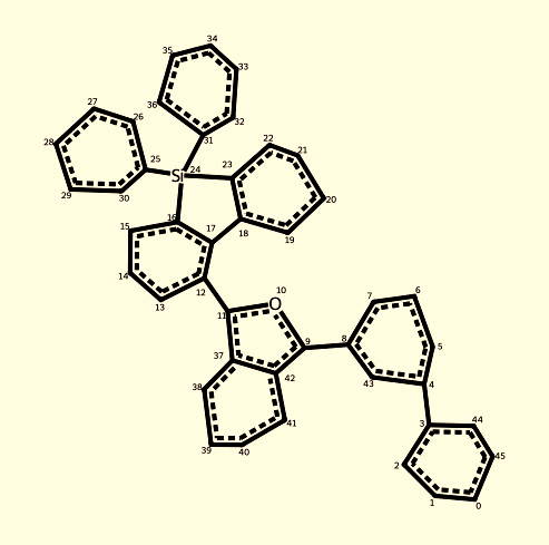 c1ccc(-c2cccc(-c3oc(-c4cccc5c4-c4ccccc4[Si]5(c4ccccc4)c4ccccc4)c4ccccc34)c2)cc1